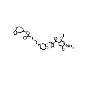 CCOc1cc(N)c(Cl)cc1C(=O)NC[C@H]1CN(CCCCC(=O)OC2CCCC3CCN3C2)CCO1